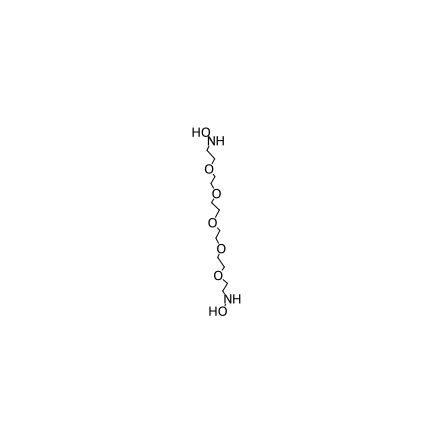 ONCCOCCOCCOCCOCCOCCNO